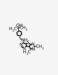 Cc1nc(C)c2c(n1)sc1c(NCc3ccc(C(C)(C)O)cc3)ncnc12